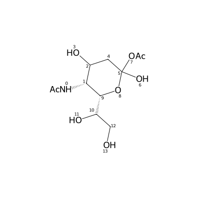 CC(=O)N[C@@H]1C(O)CC(O)(OC(C)=O)O[C@@H]1C(O)CO